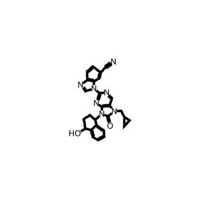 N#Cc1ccc2ncn(-c3ncc4c(n3)n(C3CCC(O)c5ccccc53)c(=O)n4CC3CC3)c2c1